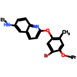 CCNc1ccc2nc(Oc3cc(Br)c(OC(C)C)cc3C)ccc2c1